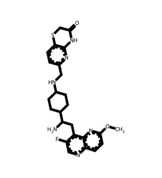 COc1ccc2ncc(F)c(CC(N)C3CCC(NCc4ccc5c(n4)NC(=O)CS5)CC3)c2n1